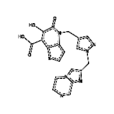 O=C(O)c1c(O)c(=O)n(Cc2cnn(Cc3cn4ccncc4n3)c2)c2ccsc12